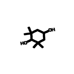 CC1(C)CC(O)CC(C)(C)C1O